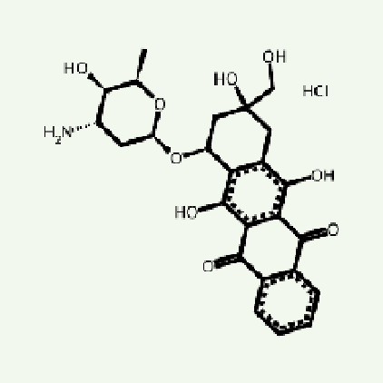 C[C@H]1O[C@@H](O[C@H]2CC(O)(CO)Cc3c(O)c4c(c(O)c32)C(=O)c2ccccc2C4=O)C[C@H](N)[C@H]1O.Cl